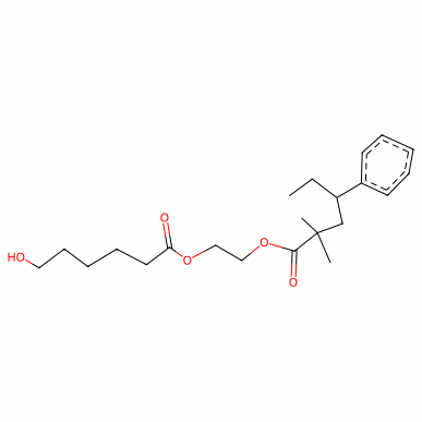 CCC(CC(C)(C)C(=O)OCCOC(=O)CCCCCO)c1ccccc1